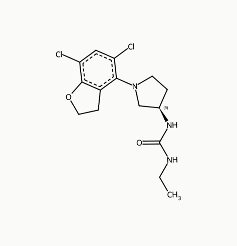 CCNC(=O)N[C@@H]1CCN(c2c(Cl)cc(Cl)c3c2CCO3)C1